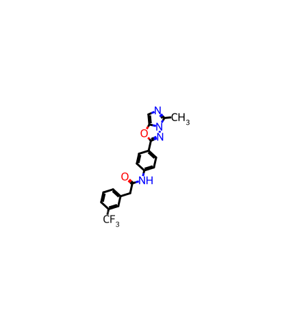 Cc1ncc2oc(-c3ccc(NC(=O)Cc4cccc(C(F)(F)F)c4)cc3)nn12